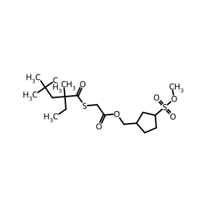 CCC(C)(CC(C)(C)C)C(=O)SCC(=O)OCC1CCC(S(=O)(=O)OC)C1